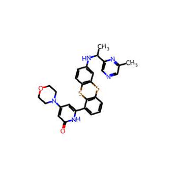 Cc1cncc(C(C)Nc2ccc3c(c2)Sc2cccc(-c4cc(N5CCOCC5)cc(=O)[nH]4)c2S3)n1